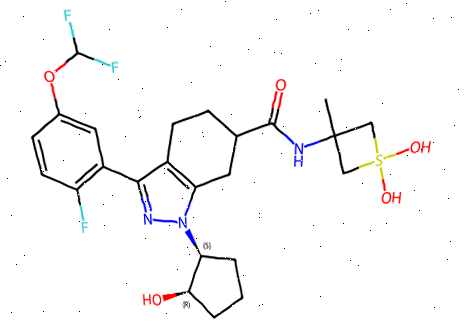 CC1(NC(=O)C2CCc3c(-c4cc(OC(F)F)ccc4F)nn([C@H]4CCC[C@H]4O)c3C2)CS(O)(O)C1